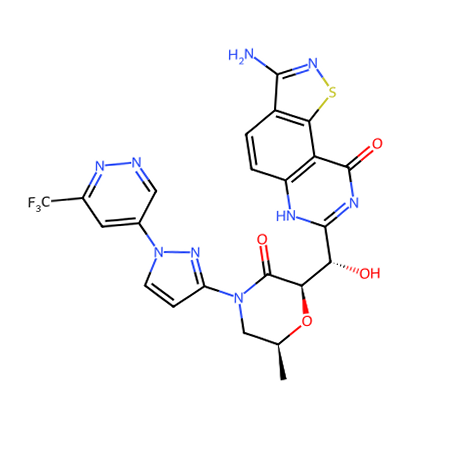 C[C@H]1CN(c2ccn(-c3cnnc(C(F)(F)F)c3)n2)C(=O)[C@@H]([C@@H](O)c2nc(=O)c3c(ccc4c(N)nsc43)[nH]2)O1